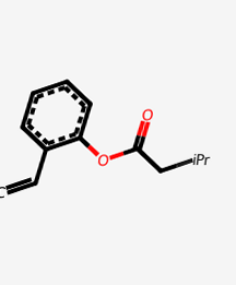 C=Cc1ccccc1OC(=O)CC(C)C